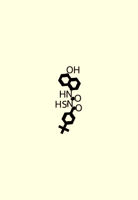 CC(C)(C)c1ccc(C(=O)N(S)C(=O)Nc2cccc3c(O)cccc23)cc1